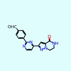 O=Cc1ccc(-c2nccc(-c3cc4n(n3)CCNC4=O)n2)cc1